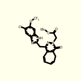 CC(C)(C)OC(=O)Cn1nc(Cc2nc3cc(Cl)c(OC(F)(F)F)cc3[nH]2)c2c(c1=O)CC=CC=C2